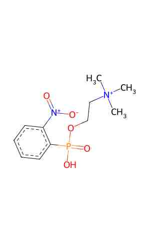 C[N+](C)(C)CCOP(=O)(O)c1ccccc1[N+](=O)[O-]